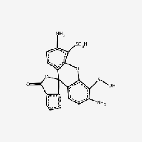 Nc1ccc2c(c1SO)Oc1c(ccc(N)c1S(=O)(=O)O)C21OC(=O)c2ccccc21